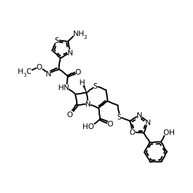 CON=C(C(=O)NC1C(=O)N2C(C(=O)O)=C(CSc3nnc(-c4ccccc4O)o3)CS[C@@H]12)c1csc(N)n1